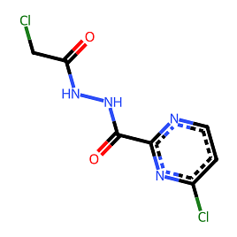 O=C(CCl)NNC(=O)c1nccc(Cl)n1